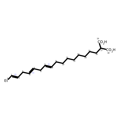 CC/C=C/C/C=C/C/C=C/CCCCCCCCC(C(=O)O)C(=O)O